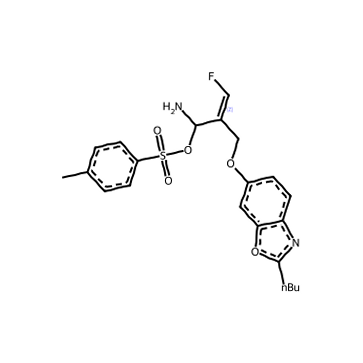 CCCCc1nc2ccc(OC/C(=C/F)C(N)OS(=O)(=O)c3ccc(C)cc3)cc2o1